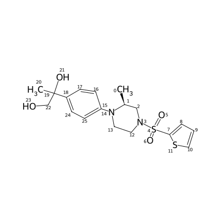 C[C@H]1CN(S(=O)(=O)c2cccs2)CCN1c1ccc(C(C)(O)CO)cc1